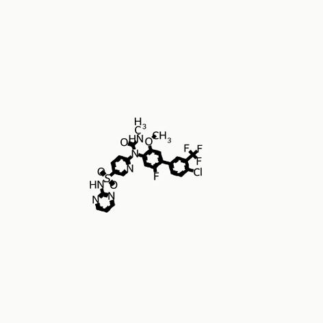 CNC(=O)N(c1ccc(S(=O)(=O)Nc2ncccn2)cn1)c1cc(F)c(-c2ccc(Cl)c(C(F)(F)F)c2)cc1OC